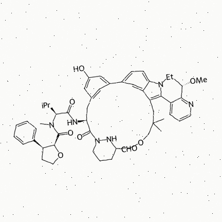 CCn1c(-c2cccnc2[C@H](C)OC)c2c3cc(ccc31)-c1cc(O)cc(c1)C[C@H](NC(=O)[C@H](C(C)C)N(C)C(=O)[C@H]1OCC[C@H]1c1ccccc1)C(=O)N1CCC[C@](C=O)(COCC(C)(C)C2)N1